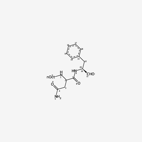 CCCCCCCCNC(CC(N)=O)C(=O)N[C@H]([C]=O)Cc1ccccc1